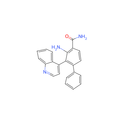 NC(=O)c1ccc(-c2ccccc2)c(-c2ccnc3ccccc23)c1N